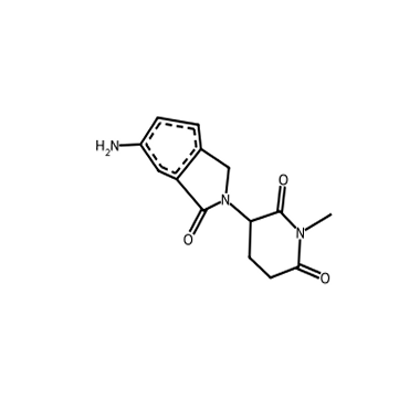 CN1C(=O)CCC(N2Cc3ccc(N)cc3C2=O)C1=O